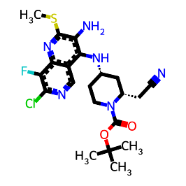 CSc1nc2c(F)c(Cl)ncc2c(N[C@H]2CCN(C(=O)OC(C)(C)C)[C@@H](CC#N)C2)c1N